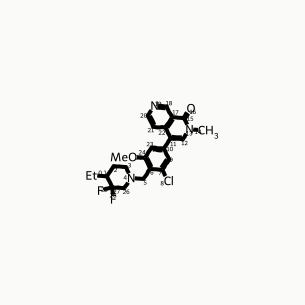 CCC1CCN(Cc2c(Cl)cc(-c3cn(C)c(=O)c4cnccc34)cc2OC)CC1(F)F